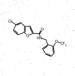 O=C(NCc1ccccc1OC(F)(F)F)c1cc2cc(Cl)ccc2o1